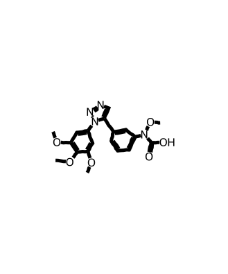 COc1cc(-n2nncc2-c2cccc(N(OC)C(=O)O)c2)cc(OC)c1OC